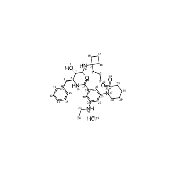 CCCC1(NC[C@@H](O)[C@H](Cc2ccccc2)NC(=O)c2cc(NCC)cc(N3CCCCS3(=O)=O)c2)CCC1.Cl